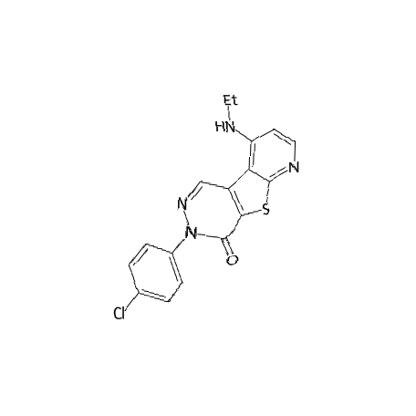 CCNc1ccnc2sc3c(=O)n(-c4ccc(Cl)cc4)ncc3c12